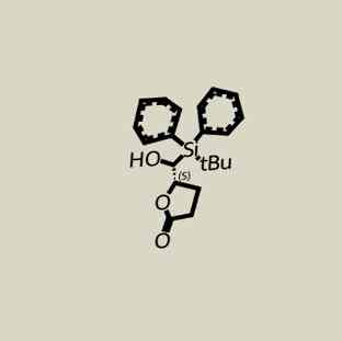 CC(C)(C)[Si](c1ccccc1)(c1ccccc1)C(O)[C@@H]1CCC(=O)O1